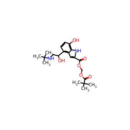 CC(C)(C)NCC(O)c1ccc(O)c2[nH]c(C(=O)OCOC(=O)C(C)(C)C)cc12